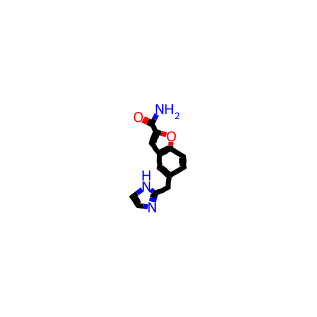 NC(=O)c1cc2cc(Cc3ncc[nH]3)ccc2o1